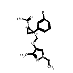 CCn1cc(OC[C@@]2(c3cccc(F)c3)C[C@H]2C(=O)O)c(C)n1